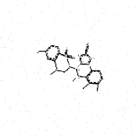 Cc1ccc(F)c([C@H](C)[C@@H](c2n[nH]c(=O)o2)N2CN(C)c3cc(Cl)ccc3S2(=O)=O)c1C